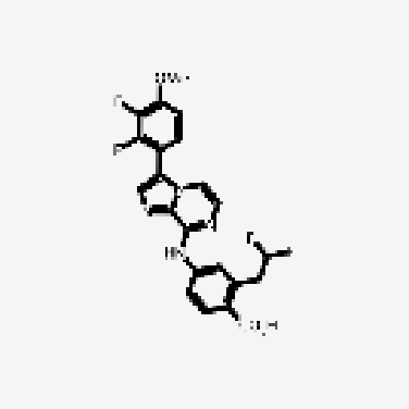 COc1ccc(-c2cnc3c(Nc4ccc(C(=O)O)c(CC(F)F)c4)nccn23)c(F)c1F